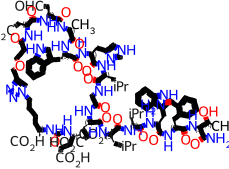 CC(C)C[C@H](NC(=O)[C@H](Cc1c[nH]cn1)NC(=O)[C@H](Cc1c[nH]c2ccccc12)NC(=O)[C@H](C)NC(=O)[C@H](CC=O)NC(=O)[C@H](CC(=O)O)NC(=O)CCOCc1cn(CCCC[C@H](NC(=O)N[C@@H](CCC(=O)O)C(=O)O)C(=O)O)nn1)C(=O)NCC(=O)N[C@@H](CCC(=O)O)C(=O)N[C@@H](CC(C)C)C(=O)N[C@H](C(=O)N[C@@H](Cc1c[nH]c2ccccc12)C(=O)N[C@@H](Cc1ccccc1CN)C(=O)N[C@H](C(N)=O)[C@@H](C)O)C(C)C